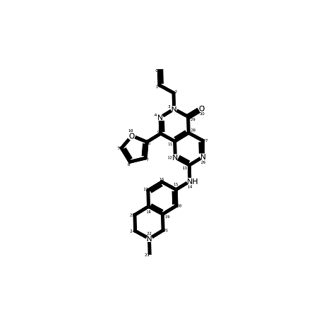 C=CCn1nc(-c2ccco2)c2nc(Nc3ccc4c(c3)CN(C)CC4)ncc2c1=O